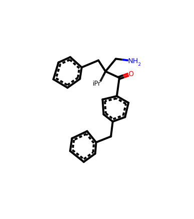 CC(C)C(CN)(Cc1ccccc1)C(=O)c1ccc(Cc2ccccc2)cc1